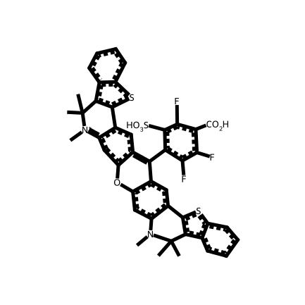 CN1c2cc3c(cc2-c2sc4ccccc4c2C1(C)C)C(c1c(F)c(F)c(C(=O)O)c(F)c1S(=O)(=O)O)=c1cc2c(cc1O3)=[N+](C)C(C)(C)c1c-2sc2ccccc12